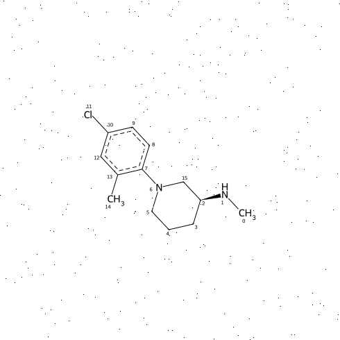 CN[C@H]1CCCN(c2ccc(Cl)cc2C)C1